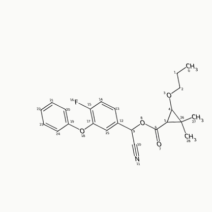 CCCOC1C(C(=O)OC(C#N)c2ccc(F)c(Oc3ccccc3)c2)C1(C)C